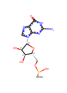 CC(=O)NP(O)OC[C@H]1O[C@@H](n2cnc3c(=O)[nH]c(N)nc32)[C@H](O)[C@@H]1O